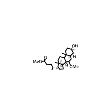 COC(=O)CCC(C)[C@H]1CC[C@H]2[C@H]3C(OC)C[C@@H]4C[C@H](O)CCC4(C)C3CCC12C